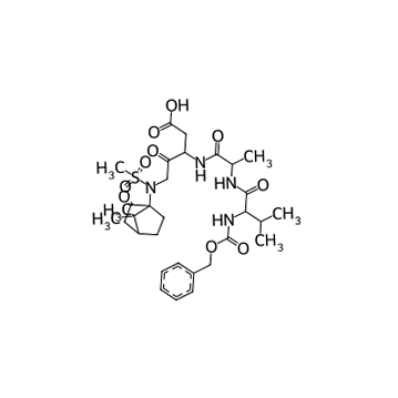 CC(NC(=O)C(NC(=O)OCc1ccccc1)C(C)C)C(=O)NC(CC(=O)O)C(=O)CN(C12CCC(CC1=O)C2(C)C)S(C)(=O)=O